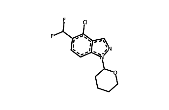 FC(F)c1ccc2c(cnn2C2CCCCO2)c1Cl